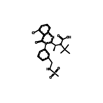 C[C@@H](c1nc2cccc(Cl)c2c(=O)n1-c1cccc(CNS(C)(=O)=O)c1)N(C(=O)O)C(C)(C)C